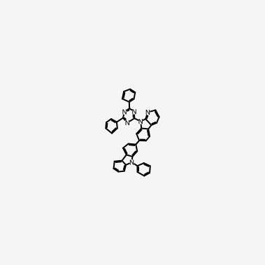 c1ccc(-c2nc(-c3ccccc3)nc(-n3c4cc(-c5ccc6c7ccccc7n(-c7ccccc7)c6c5)ccc4c4cccnc43)n2)cc1